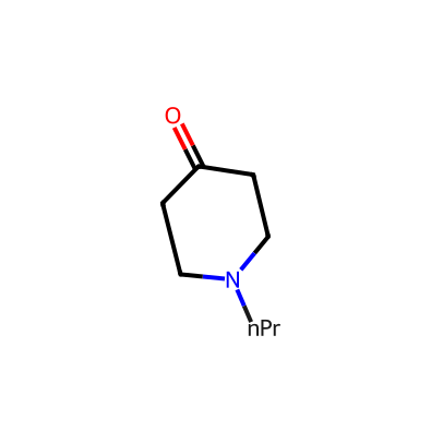 [CH2]CCN1CCC(=O)CC1